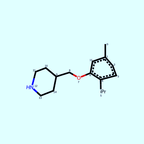 Cc1ccc(C(C)C)c(OCC2CCNCC2)c1